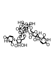 O=c1ccn(C2[C@@H]3OC(COP(=O)(O)OP(=O)(O)OP(=O)(O)OP(=O)(O)OCC4O[C@@H](n5ccc(=O)[nH]c5=O)[C@H](O)[C@@H]4O)[C@@H](O)[C@@]23O)c(=O)[nH]1